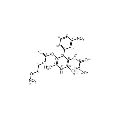 CC1=C(OC(=O)OCCO[N+](=O)[O-])C(c2cccc([N+](=O)[O-])c2)C(OC(=O)OC(C)C)=C(C)N1